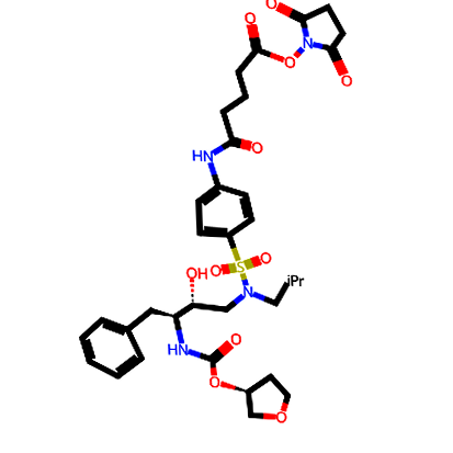 CC(C)CN(C[C@@H](O)[C@H](Cc1ccccc1)NC(=O)O[C@H]1CCOC1)S(=O)(=O)c1ccc(NC(=O)CCCC(=O)ON2C(=O)CCC2=O)cc1